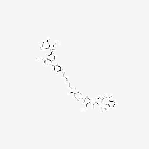 CCOc1cc(N2CCC(C(=O)NCCOCCOc3ccc(Nc4ccc(-n5nc(C(F)(F)F)c6c5CC(C)(C)CC6=O)cc4C(N)=O)cc3)CC2)ccc1Nc1ncc2c(n1)N(S(C)(=O)=O)c1ccccc1C(=O)N2C